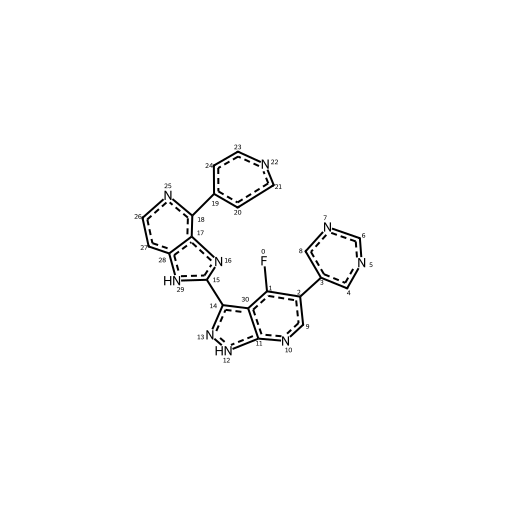 Fc1c(-c2cncnc2)cnc2[nH]nc(-c3nc4c(-c5ccncc5)nccc4[nH]3)c12